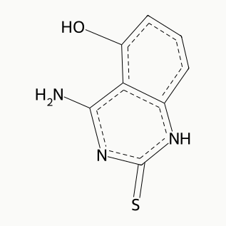 Nc1nc(=S)[nH]c2cccc(O)c12